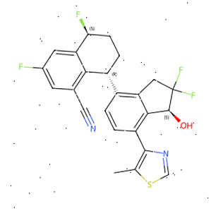 Cc1scnc1-c1ccc([C@H]2CC[C@H](F)c3cc(F)cc(C#N)c32)c2c1[C@H](O)C(F)(F)C2